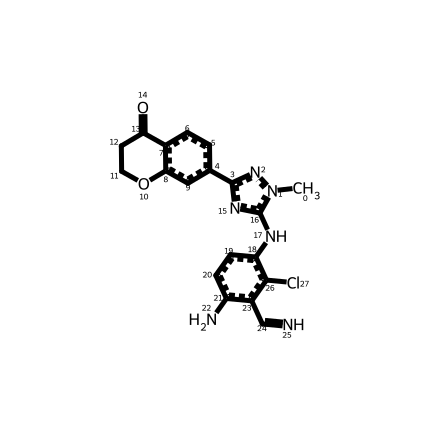 Cn1nc(-c2ccc3c(c2)OCCC3=O)nc1Nc1ccc(N)c(C=N)c1Cl